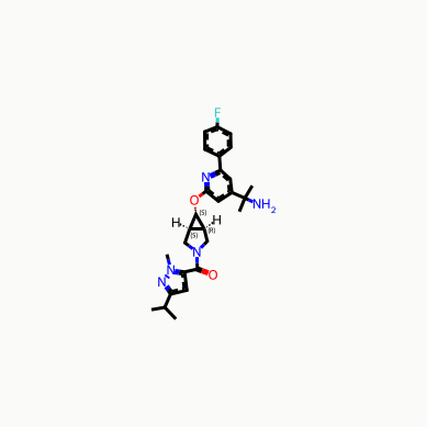 CC(C)c1cc(C(=O)N2C[C@@H]3[C@H](C2)[C@H]3Oc2cc(C(C)(C)N)cc(-c3ccc(F)cc3)n2)n(C)n1